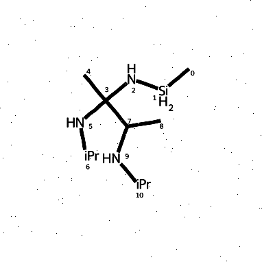 C[SiH2]NC(C)(NC(C)C)C(C)NC(C)C